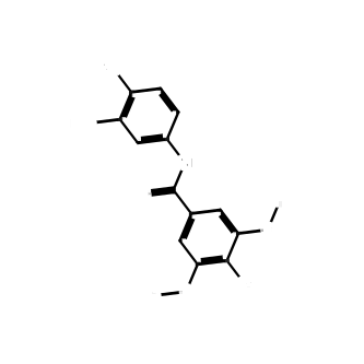 CC(=O)c1ccc(NC(=O)c2cc(OC(C)C)c(Br)c(OC(C)C)c2)cc1C